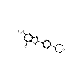 Nc1[c]c2nn(-c3ccc(N4CCOCC4)cc3)nc2c(Cl)c1